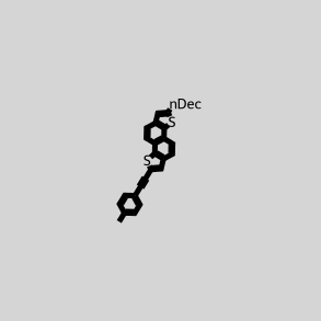 CCCCCCCCCCc1cc2ccc3c(ccc4cc(C#Cc5ccc(C)cc5)sc43)c2s1